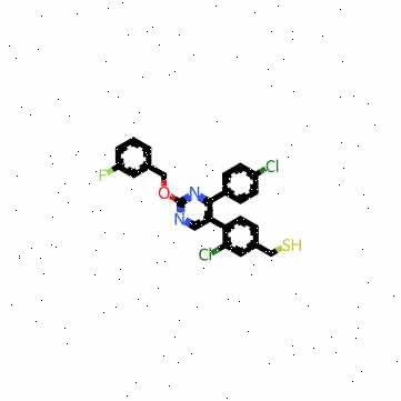 Fc1cccc(COc2ncc(-c3ccc(CS)cc3Cl)c(-c3ccc(Cl)cc3)n2)c1